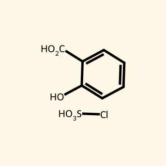 O=C(O)c1ccccc1O.O=S(=O)(O)Cl